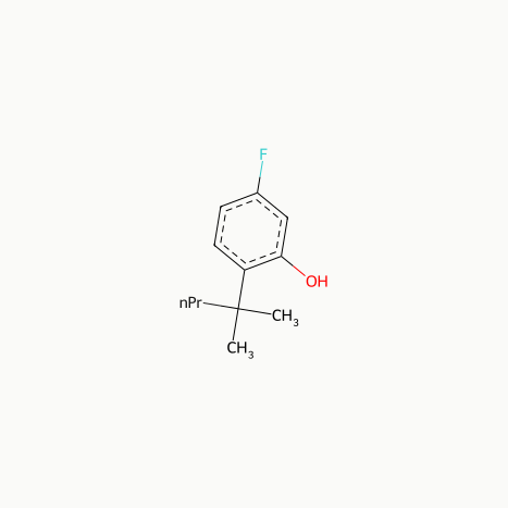 CCCC(C)(C)c1ccc(F)cc1O